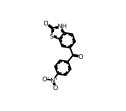 O=C(c1ccc([N+](=O)[O-])cc1)c1ccc2[nH]c(=O)sc2c1